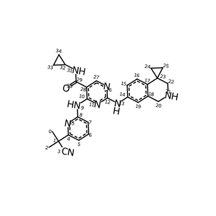 CC(C)(C#N)c1cccc(Nc2nc(Nc3ccc4c(c3)CNCC43CC3)ncc2C(=O)NC2CC2)n1